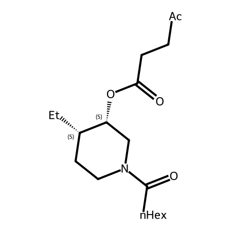 CCCCCCC(=O)N1CC[C@H](CC)[C@H](OC(=O)CCC(C)=O)C1